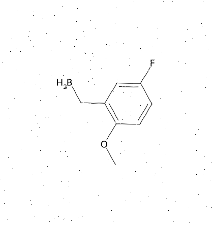 BCc1cc(F)ccc1OC